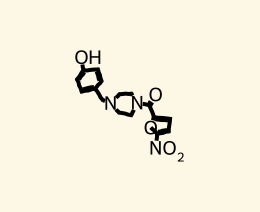 O=C(c1ccc([N+](=O)[O-])o1)N1CCN(Cc2ccc(O)cc2)CC1